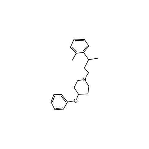 Cc1ccccc1C(C)CCN1CCC(Oc2ccccc2)CC1